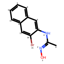 CC(=NO)Nc1cc2ccccc2cc1Br